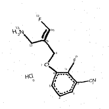 Cl.N#Cc1cccc(OCC(=CF)CN)c1F